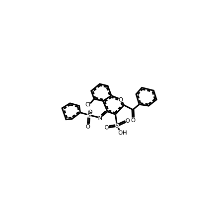 O=C(c1ccccc1)c1oc2cccc(Cl)c2c(=NS(=O)(=O)c2ccccc2)c1S(=O)(=O)O